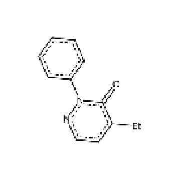 CCc1ccnn(-c2ccccc2)c1=O